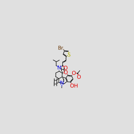 CC(=O)Oc1cc(O)c2c3c1O[C@H]1[C@@H](N(CC(C)C)C(=O)/C=C/c4cc(Br)cs4)CC[C@H]4[C@@H](C2)N(C)CC[C@@]341